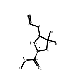 C=CCC1N[C@H](C(=O)OC)CC1(C)C